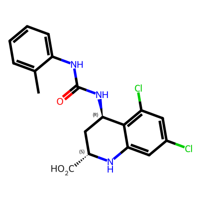 Cc1ccccc1NC(=O)N[C@@H]1C[C@@H](C(=O)O)Nc2cc(Cl)cc(Cl)c21